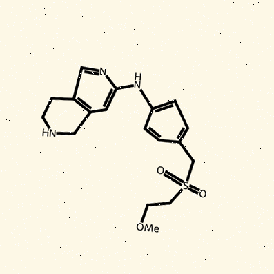 COCCS(=O)(=O)Cc1ccc(Nc2cc3c(cn2)CCNC3)cc1